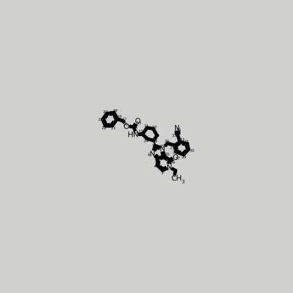 CCn1ccc2nc([C@@H]3CCCC(NC(=O)OCc4ccccc4)C3)n(Cc3ccccc3C#N)c2c1=O